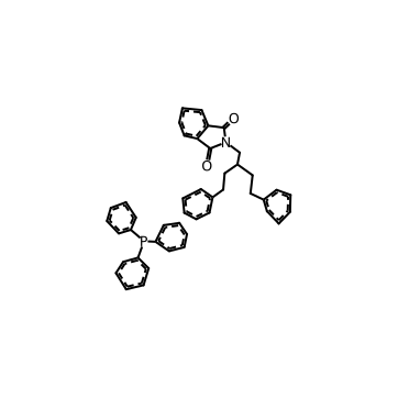 O=C1c2ccccc2C(=O)N1CC(CCc1ccccc1)CCc1ccccc1.c1ccc(P(c2ccccc2)c2ccccc2)cc1